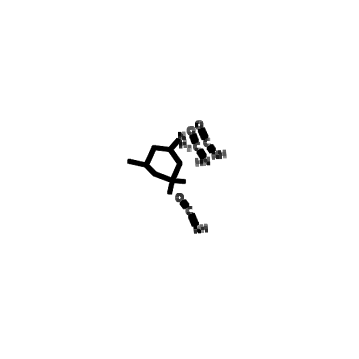 CC1CC(N)CC(C)(C)C1.N=C=O.N=C=O.N=C=O